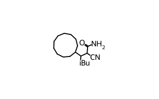 CCC(C)C(C1CCCCCCCCCC1)C(C#N)C(N)=O